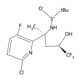 CC(C)(C)[S+]([O-])N[C@@](C)(C[C@@H](O)C(F)(F)F)c1nc(Cl)ccc1F